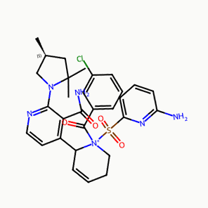 C[C@@H]1CN(c2nccc(C3C=CCC[N+]3(C(=O)c3cccc(Cl)c3)S(=O)(=O)c3cccc(N)n3)c2C(N)=O)C(C)(C)C1